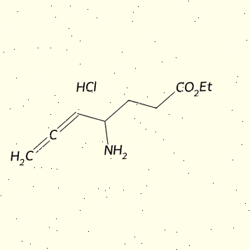 C=C=CC(N)CCC(=O)OCC.Cl